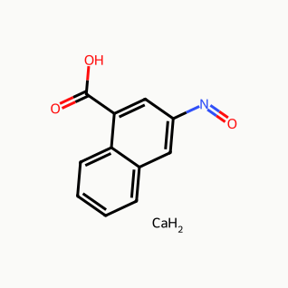 O=Nc1cc(C(=O)O)c2ccccc2c1.[CaH2]